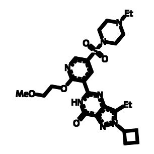 CCc1c2nc(-c3cc(S(=O)(=O)N4CCN(CC)CC4)cnc3OCCOC)[nH]c(=O)c2nn1C1CCC1